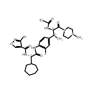 CCC(=O)N[C@@H](C(=O)N1CCN(C)CC1)[C@@H](C)c1ccc(NC(=O)[C@@H](NC(=O)c2conc2C(C)C)C2CCCCCC2)c(F)c1